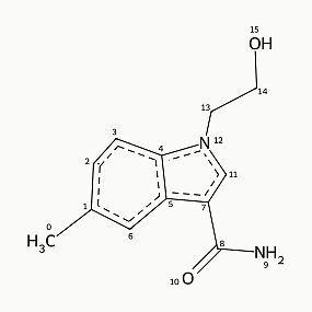 Cc1[c]cc2c(c1)c(C(N)=O)cn2CCO